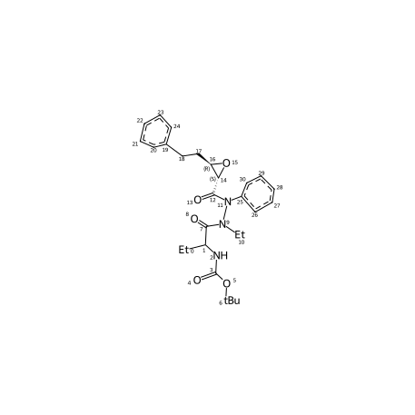 CCC(NC(=O)OC(C)(C)C)C(=O)N(CC)N(C(=O)[C@H]1O[C@@H]1CCc1ccccc1)c1ccccc1